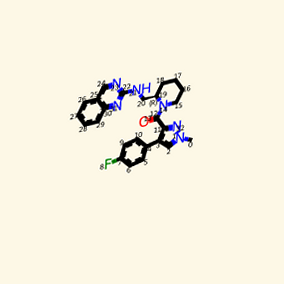 Cn1cc(-c2ccc(F)cc2)c(C(=O)N2CCCC[C@@H]2CNc2ncc3ccccc3n2)n1